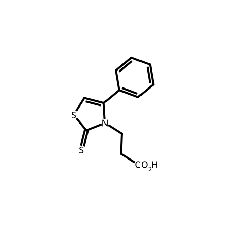 O=C(O)CCn1c(-c2ccccc2)csc1=S